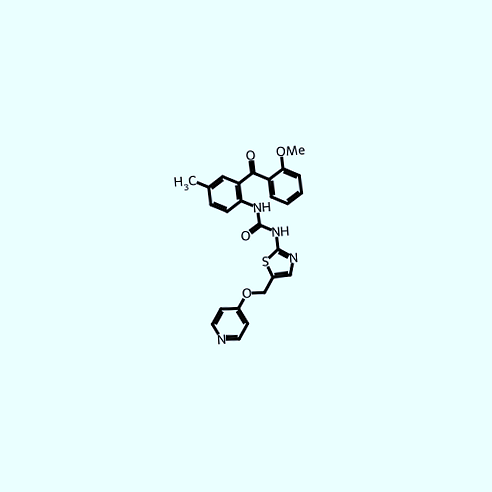 COc1ccccc1C(=O)c1cc(C)ccc1NC(=O)Nc1ncc(COc2ccncc2)s1